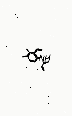 C=Cc1c(NC(C)C=C)ccc(C)c1C